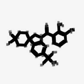 Cc1c(C#N)cccc1C(=O)NCC1(c2ccc(C(C)(F)I)nc2)CCC(F)(F)CC1